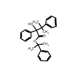 CC(C)(OC(=O)C(O)(c1ccccc1)C(C)(C)c1ccccc1)c1ccccc1